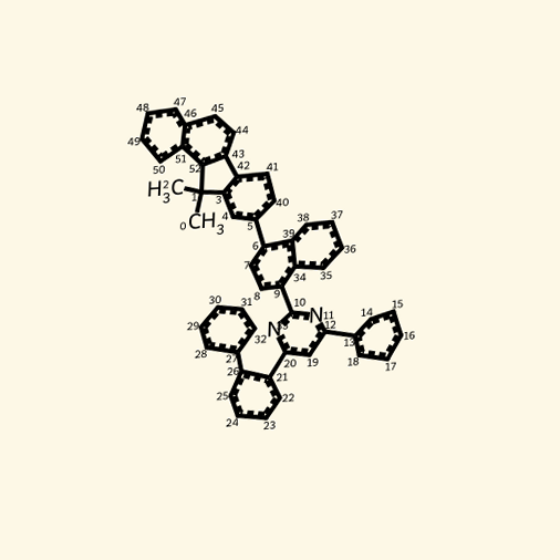 CC1(C)c2cc(-c3ccc(-c4nc(-c5ccccc5)cc(-c5ccccc5-c5ccccc5)n4)c4ccccc34)ccc2-c2ccc3ccccc3c21